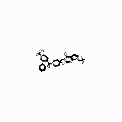 O=C(O)N1CC[C@@H](C(=O)N2CCC(O)(Cn3cnc4c(ccn4CC(F)(F)F)c3=O)CC2)[C@H](c2ccccc2)C1